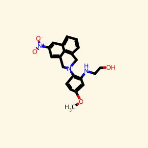 COc1ccc(N2Cc3cccc4cc([N+](=O)[O-])cc(c34)C2)c(NCCO)c1